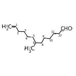 C=CCCCCC(C)CCCCC[C]=O